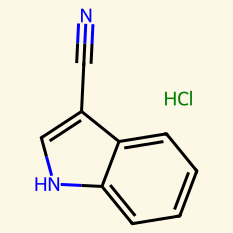 Cl.N#Cc1c[nH]c2ccccc12